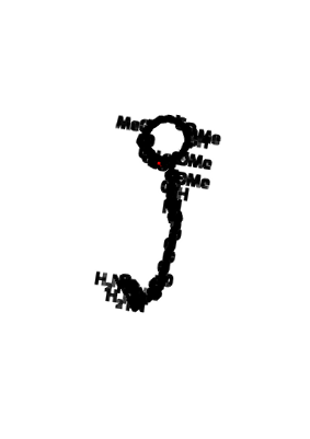 CO[C@H]1CC2CCCC(O2)C(=O)C(=O)N2CCCC[C@H]2C(=O)O[C@H](CC[C@@H]2CC[C@@H](OC(=O)NCc3cnc(N4CCN(CCOCCOCCOCCOCCC(=O)N5CCc6cc(Cn7nc(-c8ccc9oc(N)nc9c8)c8c(N)ncnc87)ccc6C5)CC4)nc3)[C@H](OC)C2)C[C@@H](OC)[C@H](C)/C=C(\C)[C@@H](O)[C@@H](OC)C(=O)[C@H](C)C[C@H](C)/C=C/C=C/C=C/1C